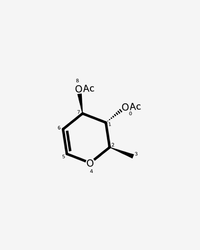 CC(=O)O[C@@H]1[C@@H](C)OC=C[C@H]1OC(C)=O